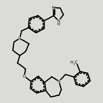 Cc1ccccc1CN1CCCc2ccc(OCCC3CCN(Cc4ccc(C5=NCCN5)cc4)CC3)cc2C1